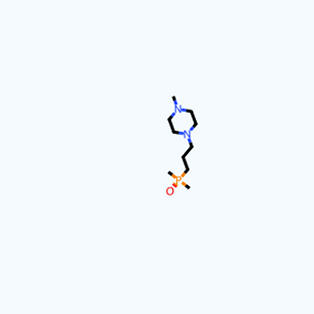 CN1CCN(CCCP(C)(C)=O)CC1